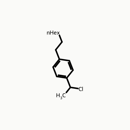 CCCCCCCCc1ccc(C(C)Cl)cc1